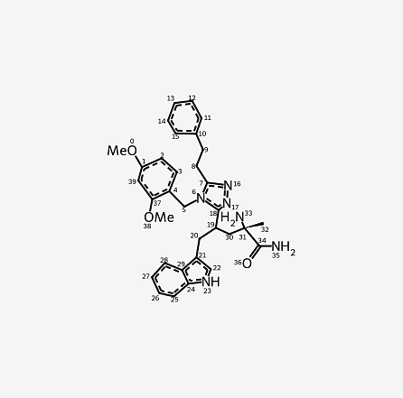 COc1ccc(Cn2c(CCc3ccccc3)nnc2C(Cc2c[nH]c3ccccc23)C[C@](C)(N)C(N)=O)c(OC)c1